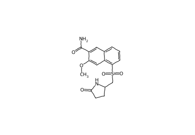 COc1cc2c(S(=O)(=O)CC3CCC(=O)N3)cccc2cc1C(N)=O